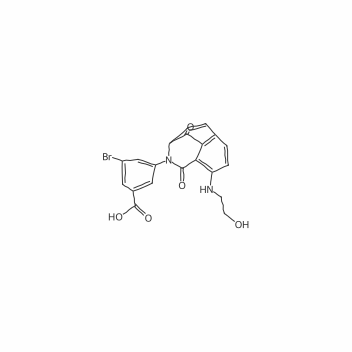 O=C(O)c1cc(Br)cc(N2C(=O)c3c(NCCO)ccc4c3C(=O)C2C=C4)c1